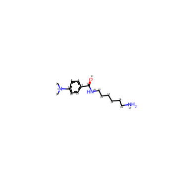 CN(C)c1ccc(C(=O)NCCCCCCN)cc1